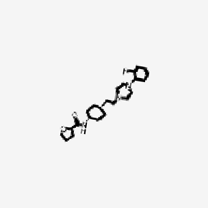 O=C(N[C@H]1CC[C@H](CCN2CCN(c3ccccc3F)CC2)CC1)C1CCCO1